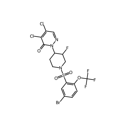 O=c1c(Cl)c(Cl)cnn1C1CCN(S(=O)(=O)c2cc(Br)ccc2OC(F)(F)F)CC1F